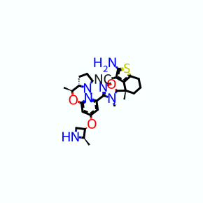 C[C@H](Oc1cc(O[C@H]2CN[C@@H]2C)cc(C2=NOC([C@@]3(C)CCCc4sc(N)c(C#N)c43)N2C)n1)[C@@H]1CCCN1C